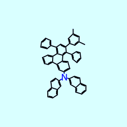 Cc1cc(C)cc(-c2cc(-c3ccccc3)c3c4ccccc4c4cc(N(c5ccc6ccccc6c5)c5ccc6ccccc6c5)ccc4c3c2-c2ccccc2)c1